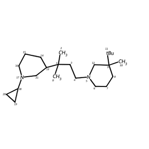 CC(C)(CCN1CCCC(C)(C(C)(C)C)C1)C1CCCN(C2CC2)C1